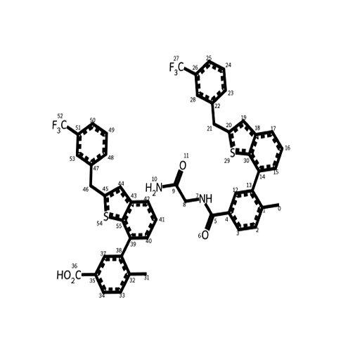 Cc1ccc(C(=O)NCC(N)=O)cc1-c1cccc2cc(Cc3cccc(C(F)(F)F)c3)sc12.Cc1ccc(C(=O)O)cc1-c1cccc2cc(Cc3cccc(C(F)(F)F)c3)sc12